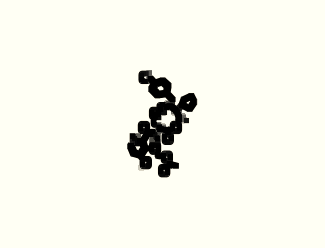 COc1ccnc(C(=O)N[C@H]2COC[C@H](Cc3ccc(Cl)cc3)[C@@H](C3CCCC3)[C@H](C)OC2=O)c1OCOC(C)=O